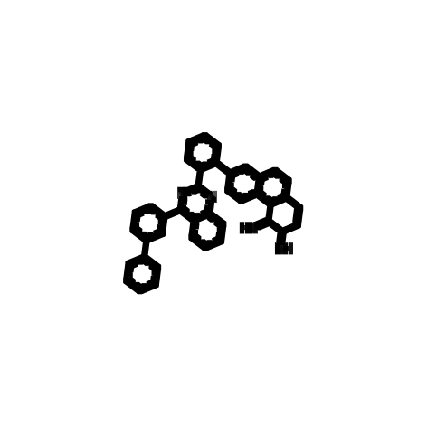 N=C1C=Cc2ccc3cc(-c4ccccc4-c4nc(-c5cccc(-c6ccccc6)c5)c5ccccc5n4)ccc3c2C1=N